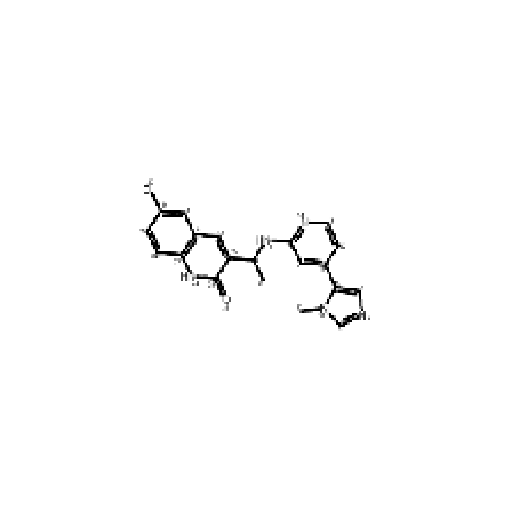 CC(Nc1cc(-c2cncn2C)ccn1)c1cc2cc(Cl)ccc2[nH]c1=O